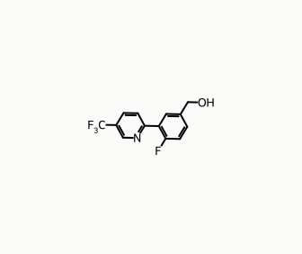 OCc1ccc(F)c(-c2ccc(C(F)(F)F)cn2)c1